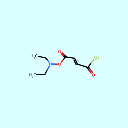 CCN(CC)OC(=O)/C=C/C(=O)S